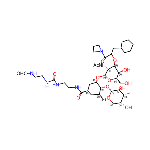 CC[C@H]1C[C@@H](C(=O)NCCNC(=O)NCCNC=O)C[C@@H](O[C@@H]2O[C@H](CO)[C@H](O)[C@H](OC(CC3CCCCC3)C(=O)N3CCC3)[C@H]2NC(C)=O)[C@@H]1O[C@@H]1O[C@@H](C)[C@@H](O)[C@@H](C)[C@@H]1O